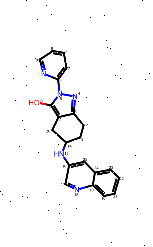 Oc1c2c(nn1-c1ccccn1)CCC(Nc1cnc3ccccc3c1)C2